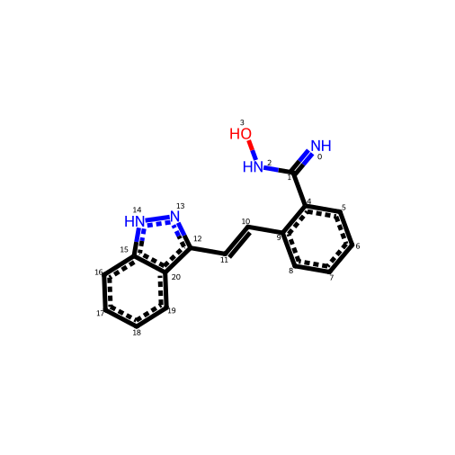 N=C(NO)c1ccccc1/C=C/c1n[nH]c2ccccc12